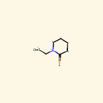 CSCN1CCCCC1=S